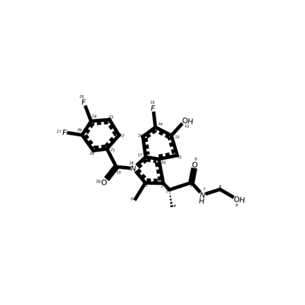 Cc1c([C@@H](C)C(=O)NCO)c2cc(O)c(F)cc2n1C(=O)c1ccc(F)c(F)c1